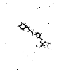 CC(N)(CO)CCc1ccc(CCCCC2CCCCC2)s1